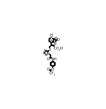 O=C(Cn1nnnc1SCC1=C(C(=O)O)N2C(=O)[C@H]3NCCC1[C@H]32)Nc1ccc(OC(=O)C(F)(F)F)cc1